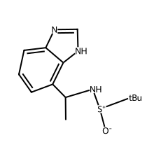 CC(N[S+]([O-])C(C)(C)C)c1cccc2nc[nH]c12